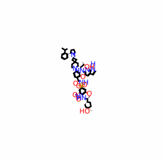 CC(C)c1ccccc1[C@@H]1CCCN1C1CC2(CCN(c3ccc(C(=O)NS(=O)(=O)c4cc5c(c([N+](=O)[O-])c4)N[C@@H]([C@H]4CC[C@](C)(O)CC4)CO5)c(Oc4cc5cc[nH]c5nc4NC[C@H](C)O)c3)CC2)C1